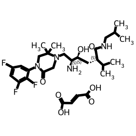 CC(C)CNC(=O)[C@@H](C[C@H](O)[C@@H](N)CN1CC(=O)N(c2cc(F)cc(F)c2F)CC1(C)C)C(C)C.O=C(O)C=CC(=O)O